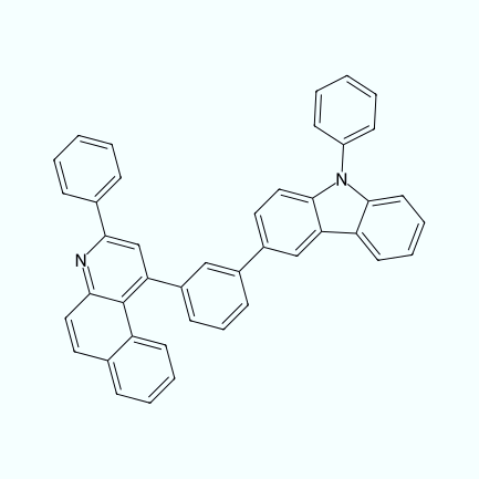 c1ccc(-c2cc(-c3cccc(-c4ccc5c(c4)c4ccccc4n5-c4ccccc4)c3)c3c(ccc4ccccc43)n2)cc1